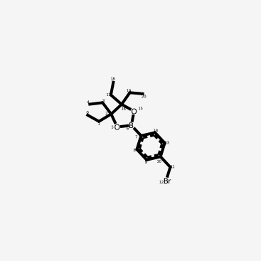 CCC1(CC)OB(c2ccc(CBr)cc2)OC1(CC)CC